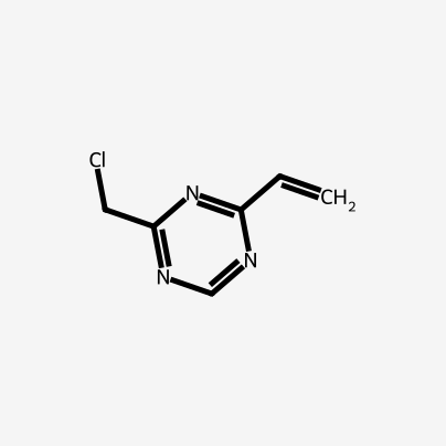 C=Cc1ncnc(CCl)n1